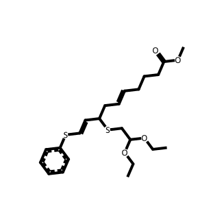 CCOC(CSC(C=CSc1ccccc1)CC=CCCCC(=O)OC)OCC